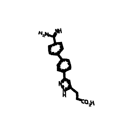 N=C(N)c1ccc(-c2ccc(-c3cc(CCC(=O)O)[nH]n3)cc2)cc1